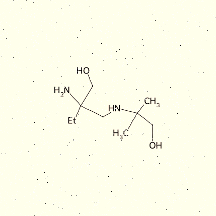 CCC(N)(CO)CNC(C)(C)CO